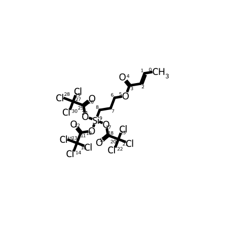 CC=CC(=O)OCCC[Si](OC(=O)C(Cl)(Cl)Cl)(OC(=O)C(Cl)(Cl)Cl)OC(=O)C(Cl)(Cl)Cl